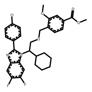 COC(=O)c1ccc(COCC(C2CCCCC2)n2c(-c3ccc(Cl)cc3)nc3cc(F)c(F)cc32)c(OC)c1